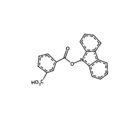 O=C(O)c1cccc(C(=O)On2c3ccccc3c3ccccc32)c1